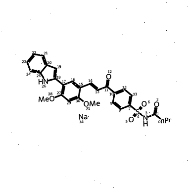 CCCC(=O)NS(=O)(=O)c1ccc(C(=O)C=Cc2cc(-c3cc4ccccc4[nH]3)c(OC)cc2OC)cc1.[Na]